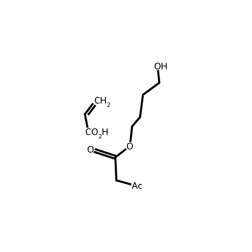 C=CC(=O)O.CC(=O)CC(=O)OCCCCO